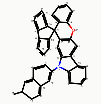 CC1C=c2ccc(-n3c4ccccc4c4cc5c(cc43)C3(c4ccccc4O5)c4ccccc4-c4ccccc43)cc2=CC1